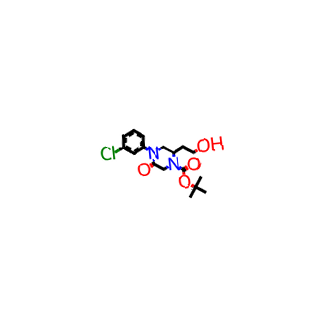 CC(C)(C)OC(=O)N1CC(=O)N(c2cccc(Cl)c2)CC1CCO